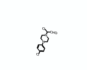 O=CC(Cl)N1CCN(c2ccc(Cl)cc2)CC1